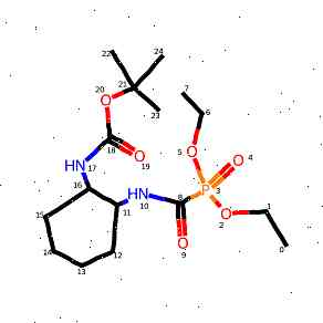 CCOP(=O)(OCC)C(=O)NC1CCCCC1NC(=O)OC(C)(C)C